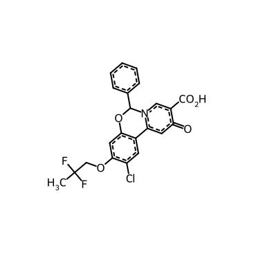 CC(F)(F)COc1cc2c(cc1Cl)-c1cc(=O)c(C(=O)O)cn1C(c1ccccc1)O2